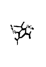 C=C=Nc1c(C(C)C)cc(C(C)C)c(N=C=C)c1C(C)C